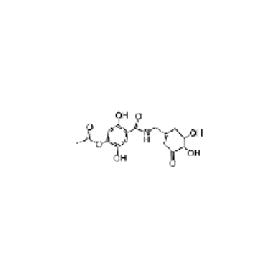 CC(=O)Oc1cc(O)c(C(=O)NCC2=CC(=O)C(O)C(O)C2)cc1O